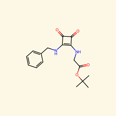 CC(C)(C)OC(=O)CNc1c(NCc2ccccc2)c(=O)c1=O